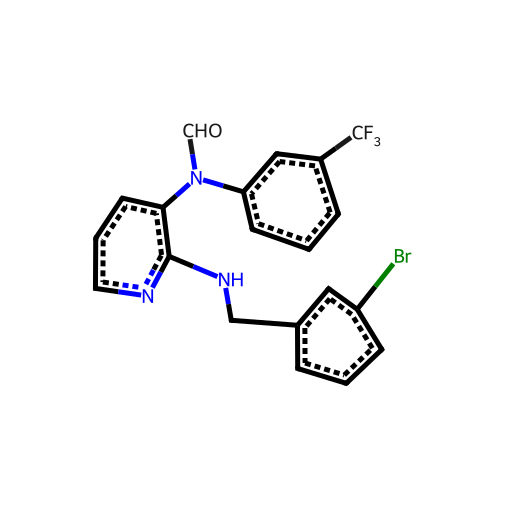 O=CN(c1cccc(C(F)(F)F)c1)c1cccnc1NCc1cccc(Br)c1